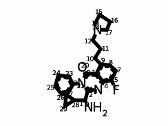 N[C@H](c1nc2c(F)ccc(CCCN3CCCC3)c2c(=O)n1-c1ccccc1)C1CC1